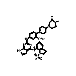 COc1nc(Nc2nc(Nc3cccc4c3N(S(C)(=O)=O)CC4)c3cc[nH]c3n2)ccc1N1CCC(N2CCN(C)C(=O)C2)CC1